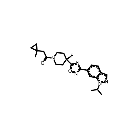 CC(C)n1ncc2ccc(-c3noc(C4(F)CCN(C(=O)CC5(C)CC5)CC4)n3)cc21